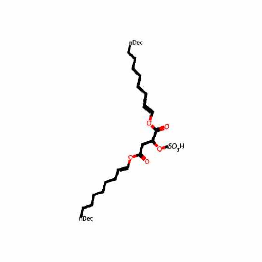 CCCCCCCCCCCCCCCCC=COC(=O)CC(OS(=O)(=O)O)C(=O)OC=CCCCCCCCCCCCCCCCC